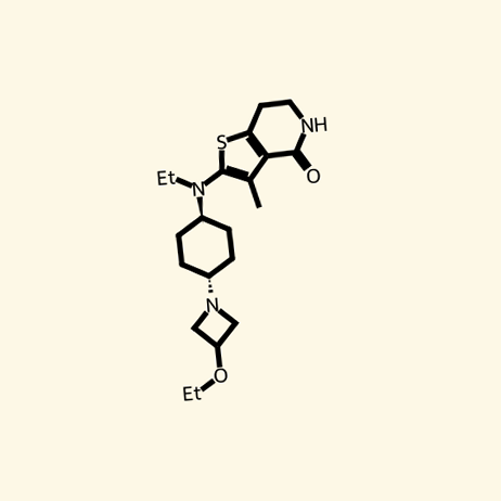 CCOC1CN([C@H]2CC[C@H](N(CC)c3sc4c(c3C)C(=O)NCC4)CC2)C1